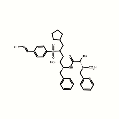 CC[C@H](C)[C@@H](C(=O)N[C@@H](Cc1ccccc1)[C@H](O)CN(CC1CCCC1)S(=O)(=O)c1ccc(/C=N/O)cc1)N(Cc1ccccn1)C(=O)O